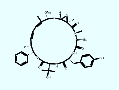 CC[C@H](C)[C@H]1C(=O)N[C@H](Cc2ccc(O)cc2)C(=O)N[C@@H](C(C)(C)O)C(=O)O[C@H](c2ccccc2)[C@H](C)C=CC=C(C)[C@H](OC)C[C@@H]2O[C@@]2(C)C(=O)N1C